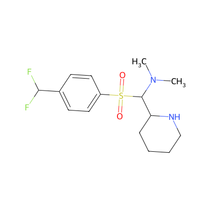 CN(C)C(C1CCCCN1)S(=O)(=O)c1ccc(C(F)F)cc1